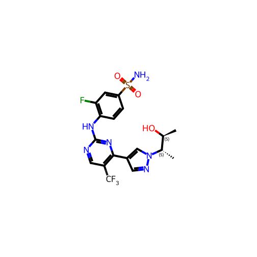 C[C@H](O)[C@H](C)n1cc(-c2nc(Nc3ccc(S(N)(=O)=O)cc3F)ncc2C(F)(F)F)cn1